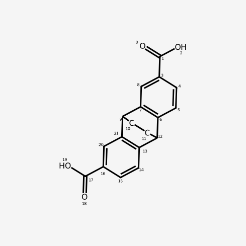 O=C(O)c1ccc2c(c1)C1CCC2c2ccc(C(=O)O)cc21